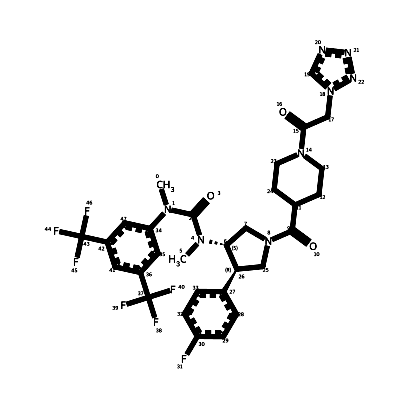 CN(C(=O)N(C)[C@@H]1CN(C(=O)C2CCN(C(=O)Cn3cnnn3)CC2)C[C@H]1c1ccc(F)cc1)c1cc(C(F)(F)F)cc(C(F)(F)F)c1